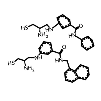 N[C@@H](CS)CNc1cccc(C(=O)NCc2cccc3ccccc23)c1.N[C@@H](CS)CNc1cccc(C(=O)Nc2ccccc2)c1